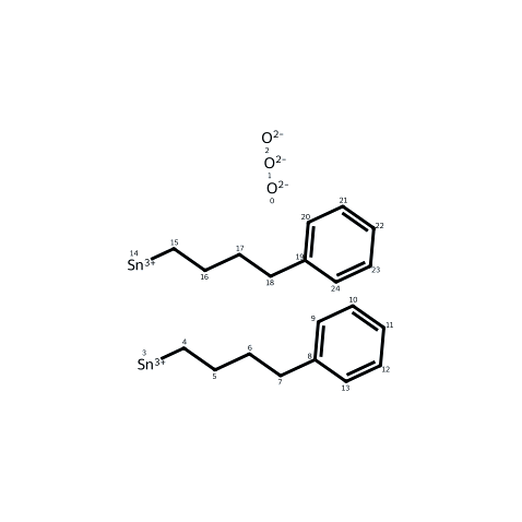 [O-2].[O-2].[O-2].[Sn+3][CH2]CCCc1ccccc1.[Sn+3][CH2]CCCc1ccccc1